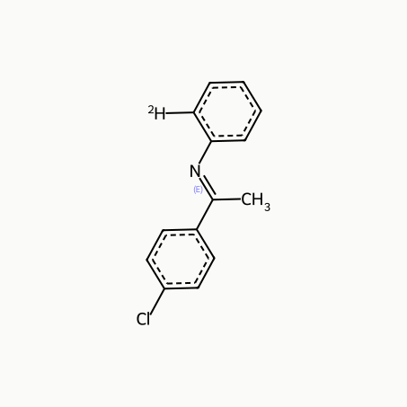 [2H]c1ccccc1/N=C(\C)c1ccc(Cl)cc1